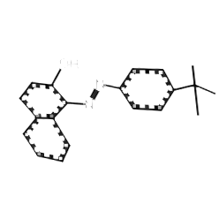 CC(C)(C)c1ccc(/N=N/c2c(O)ccc3ccccc23)cc1